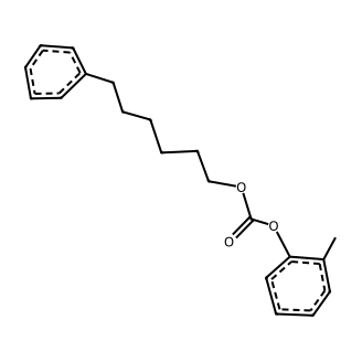 Cc1ccccc1OC(=O)OCCCCCCc1ccccc1